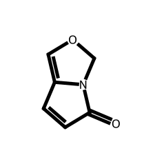 O=C1C=CC2=COCN12